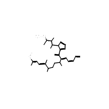 C=C/C=C\C=C(\C(=C)C1=CC=CC1C(C)C(C)C(C)NC)C(C)CCC(C)/C(C)=C/C=C(\C)SF